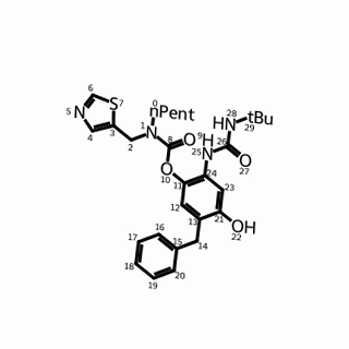 CCCCCN(Cc1cncs1)C(=O)Oc1cc(Cc2ccccc2)c(O)cc1NC(=O)NC(C)(C)C